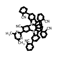 Cc1cc(C)nc(-c2cc(-n3c4cc(-c5ccccc5C#N)ccc4c4ccc(-c5ccccc5C#N)cc43)c(-n3c4cc(-c5ccccc5C#N)ccc4c4ccc(-c5ccccc5C#N)cc43)cc2C#N)n1